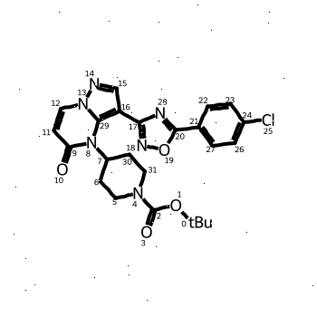 CC(C)(C)OC(=O)N1CCC(n2c(=O)ccn3ncc(-c4noc(-c5ccc(Cl)cc5)n4)c23)CC1